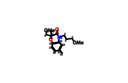 COCCCN1C(=O)C(C)(COC)Oc2ccc(C)cc21